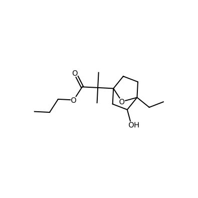 CCCOC(=O)C(C)(C)C12CCC(CC)(O1)C(O)C2